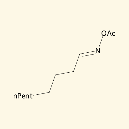 CCCCCCCC/C=N/OC(C)=O